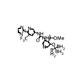 BC(B)(B)Oc1cncc(NC(=O)Nc2cnc(-n3nccn3)c(C(F)(F)F)c2)c1[C@@H](C)OC